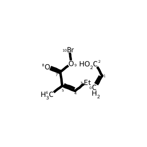 C=CC(=O)O.CCC=C(C)C(=O)OBr